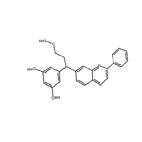 COc1cc(OC)cc(N(CCOSC)c2ccc3ncc(-c4ccccc4)nc3c2)c1